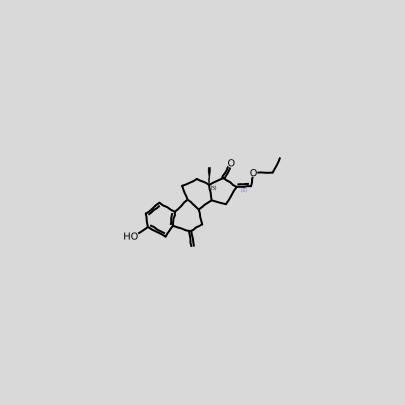 C=C1CC2C(CC[C@]3(C)C(=O)/C(=C\OCC)CC23)c2ccc(O)cc21